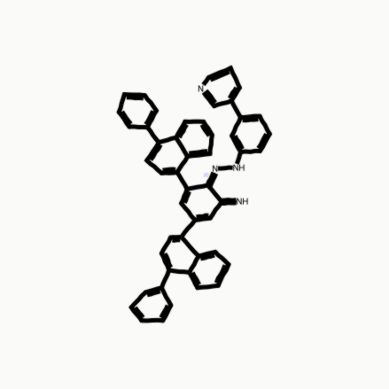 N=C1C=C(c2ccc(-c3ccccc3)c3ccccc23)C=C(c2ccc(-c3ccccc3)c3ccccc23)/C1=N/Nc1cccc(-c2cccnc2)c1